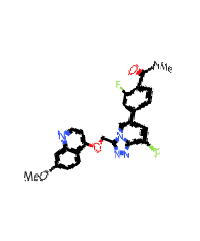 CNC(=O)c1ccc(-c2cc(F)c3nnc(COc4ccnc5cc(OC)ccc45)n3c2)cc1F